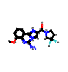 COc1cccc2c1nc(N)n1cc(C(=O)N3CCC(F)(F)C3)nc21